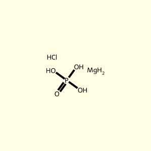 Cl.O=P(O)(O)O.[MgH2]